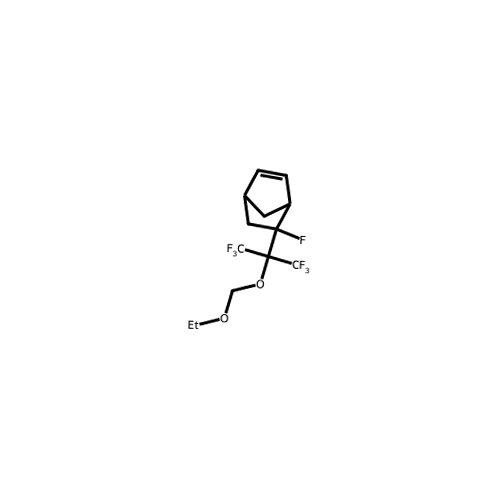 CCOCOC(C(F)(F)F)(C(F)(F)F)C1(F)CC2C=CC1C2